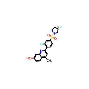 Cc1cc(-c2ccc(S(=O)(=O)N3CC[C@H](F)C3)cc2F)nc2cc(O)ccc12